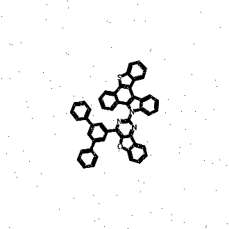 c1ccc(-c2cc(-c3ccccc3)cc(-c3nc(-n4c5ccccc5c5c6c7ccccc7sc6c6ccccc6c54)nc4c3oc3ccccc34)c2)cc1